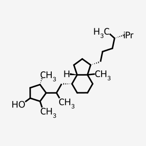 CC(C[C@H]1CCCC2(C)[C@@H](CCC[C@H](C)C(C)C)CC[C@@H]12)C1C(C)C(O)C[C@@H]1C